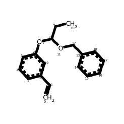 C=Cc1cccc(OC(CC)OCc2ccccc2)c1